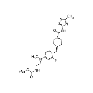 Cc1nsc(NC(=O)N2CCC(=Cc3ccc(N(C)CCNC(=O)OC(C)(C)C)cc3F)CC2)n1